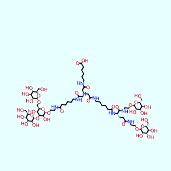 O=C(O)CCCCCNC(=O)CN(CC(=O)NCCCCCC(=O)NCCO[C@H]1O[C@H](CO[C@H]2O[C@H](CO)[C@@H](O)[C@H](O)[C@@H]2O)[C@@H](O)[C@H](O[C@H]2O[C@H](CO)[C@@H](O)[C@H](O)[C@@H]2O)[C@@H]1O)CC(=O)NCCCCCC(=O)N[C@@H](CCC(=O)NCCO[C@H]1O[C@H](CO)[C@@H](O)[C@H](O)[C@@H]1O)C(=O)NCCO[C@H]1O[C@H](CO)[C@@H](O)[C@H](O)[C@@H]1O